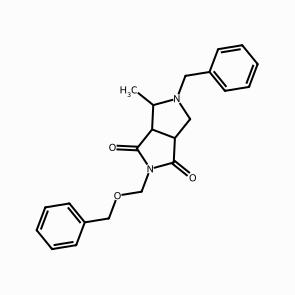 CC1C2C(=O)N(COCc3ccccc3)C(=O)C2CN1Cc1ccccc1